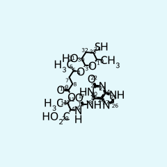 CC1O[C@H](O[C@H](C)CCC(=O)O[C@H](C)[C@H](NC(=O)Nc2[nH]c(=O)nc3[nH]cnc23)C(=O)O)[C@H](O)C[C@@H]1S